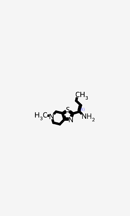 CC/C=C(/N)c1nc2c(s1)CN(C)CC2